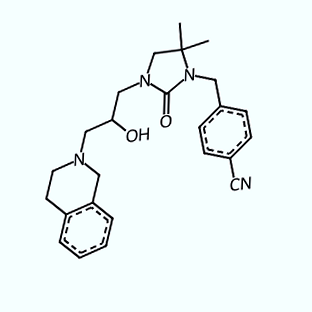 CC1(C)CN(CC(O)CN2CCc3ccccc3C2)C(=O)N1Cc1ccc(C#N)cc1